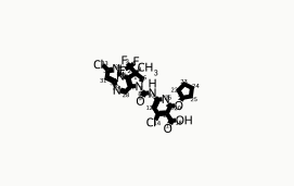 C[C@@]1(C(F)(F)F)CN(C(=O)Nc2cc(Cl)c(C(=O)O)c(OC3CCCC3)n2)c2cnc3cc(Cl)nn3c21